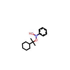 CC(C)(ON(O)c1ccccc1)C1CCCCC1